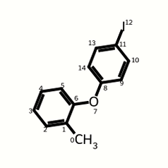 Cc1ccccc1Oc1ccc(I)cc1